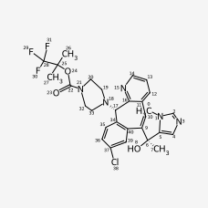 Cn1cncc1[C@@](C)(O)C1=Cc2cccnc2[C@@H](N2CCN(C(=O)OC(C)(C)C(F)(F)F)CC2)c2ccc(Cl)cc21